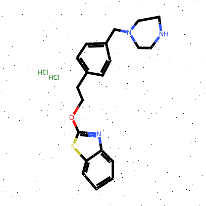 Cl.Cl.c1ccc2sc(OCCc3ccc(CN4CCNCC4)cc3)nc2c1